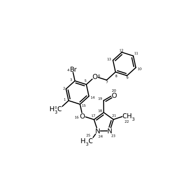 Cc1cc(Br)c(OCc2ccccc2)cc1Oc1c(C=O)c(C)nn1C